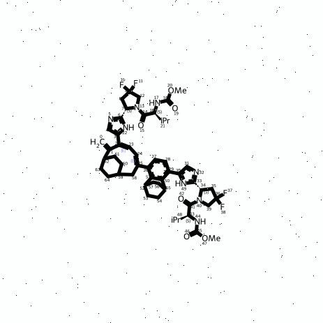 C=C1/C(c2cnc([C@@H]3CC(F)(F)CN3C(=O)[C@@H](NC(=O)OC)C(C)C)[nH]2)=C\C=C(\c2ccc(-c3cnc([C@@H]4CC(F)(F)CN4C(=O)[C@@H](NC(=O)OC)C(C)C)[nH]3)c3c2C2CCC3CC2)CC2CCC1CC2